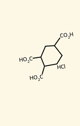 Cl.O=C(O)C1CCC(C(=O)O)C(C(=O)O)C1